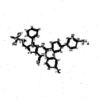 CS(=O)(=O)NCc1nc2c(=O)n(-c3ccc(Cl)cc3)c(-c3ccc(-c4ccc(N)nc4)cc3)nc2n1-c1ccccc1